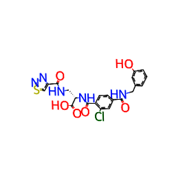 O=C(NCc1cccc(O)c1)c1ccc(C(=O)N[C@@H](CNC(=O)c2csnn2)C(=O)O)c(Cl)c1